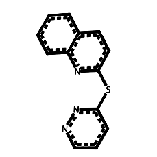 c1cnnc(Sc2ccc3ccccc3n2)c1